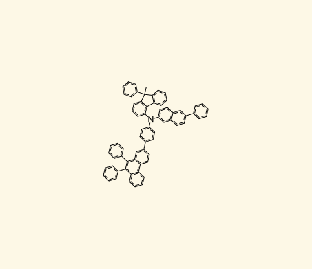 CC1(c2ccccc2)c2ccccc2-c2c(N(c3ccc(-c4ccc5c(c4)c(-c4ccccc4)c(-c4ccccc4)c4ccccc45)cc3)c3ccc4cc(-c5ccccc5)ccc4c3)cccc21